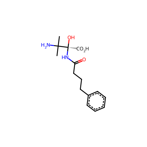 CC(C)(N)[C@@](O)(NC(=O)CCCc1ccccc1)C(=O)O